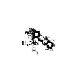 CC1(C)Cc2c(cccc2P(=O)(O)O)C(c2nnc3ccccc3n2)=N1